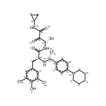 CC[C@H](NC(=O)[C@H](Cc1cc(Cl)c(O)c(Cl)c1)N[C@@H](c1ccc(N2CCCCC2)cc1)C(F)(F)F)C(=O)C(=O)NC1CC1